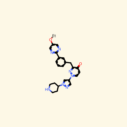 CCOc1cnc(-c2cccc(Cc3nn(-c4cnn(C5CCNCC5)c4)ccc3=O)c2)nc1